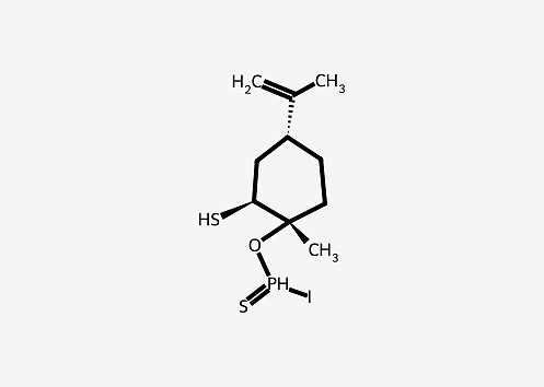 C=C(C)[C@@H]1CC[C@](C)(O[PH](=S)I)[C@@H](S)C1